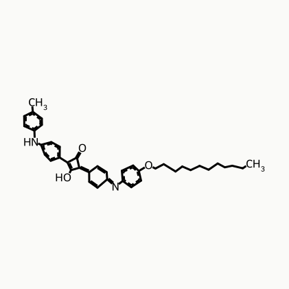 CCCCCCCCCCCCOc1ccc(N=C2C=CC(=C3C(=O)C(c4ccc(Nc5ccc(C)cc5)cc4)=C3O)C=C2)cc1